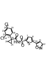 O=C(NS(=O)(=O)c1ccc(-c2ccno2)s1)C1(c2ccc(Cl)cc2Cl)CC1